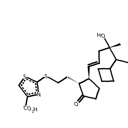 CC(C1CCC1)[C@@](C)(O)C/C=C/[C@H]1CCC(=O)[C@@H]1CCSc1nc(C(=O)O)cs1